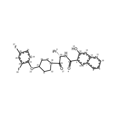 CC(C)[C@H](NC(=O)c1nc2cccnc2nc1O)C(=O)N1CCC(Oc2ncc(F)cc2F)CC1